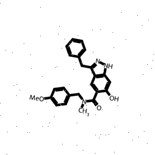 COc1ccc(CN(C)C(=O)c2cc3c(Cc4ccccc4)n[nH]c3cc2O)cc1